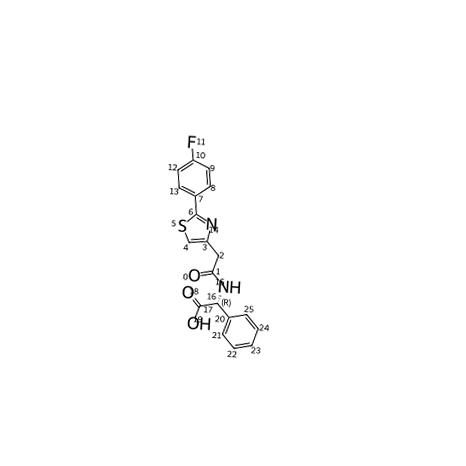 O=C(Cc1csc(-c2ccc(F)cc2)n1)N[C@@H](C(=O)O)c1ccccc1